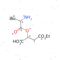 CCOC(=O)CC(OC(=O)C(N)C(C)CC)C(=O)O